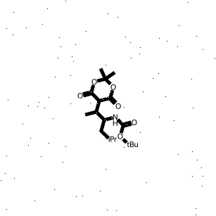 CC(C)CC(NC(=O)OC(C)(C)C)C(C)C1C(=O)OC(C)(C)OC1=O